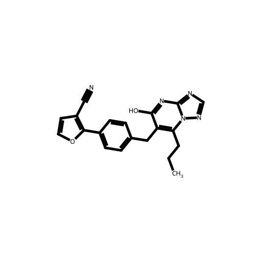 CCCc1c(Cc2ccc(-c3occc3C#N)cc2)c(O)nc2ncnn12